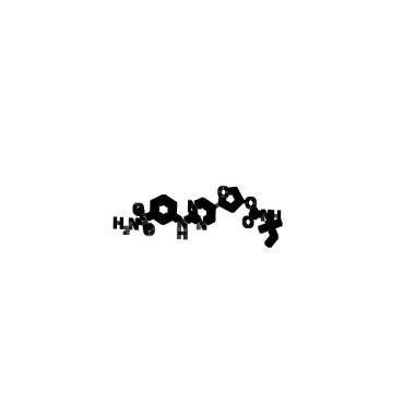 CCC(C)(C)NC(=O)O[C@H]1CO[C@@H](c2cnc(Nc3cccc(S(N)(=O)=O)c3)nc2)C1